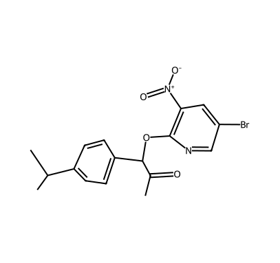 CC(=O)C(Oc1ncc(Br)cc1[N+](=O)[O-])c1ccc(C(C)C)cc1